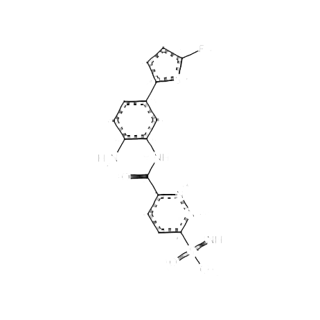 CS(=N)(=O)c1ccc(C(=O)Nc2cc(-c3ccc(F)s3)ccc2N)nn1